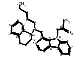 CCCCCN(Cc1nccc2c3ccccc3n(CC(N)=O)c12)[C@H]1CCCc2cccnc21